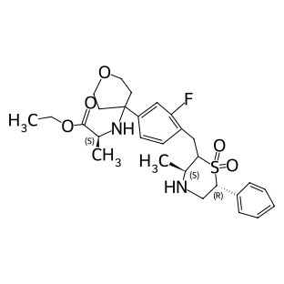 CCOC(=O)[C@H](C)NC1(c2ccc(CC3[C@H](C)NC[C@@H](c4ccccc4)S3(=O)=O)c(F)c2)CCOCC1